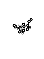 CC1=C(c2ccc3ccccc3c2)N=C(c2cccc3oc4ccccc4c23)NC(c2ccc(-c3cc(-c4ccc5ccccc5c4)cc4oc5ccccc5c34)c3ccccc23)C1C